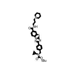 CC(C)(C)OC(=O)N(Cc1ccc(-c2nc3sc4cc(C(=O)NCCCN5CCCCC5)ccc4n3n2)cc1)C1CC1